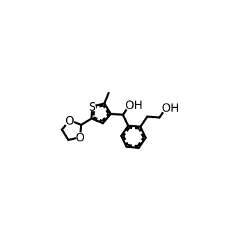 Cc1sc(C2OCCO2)cc1C(O)c1ccccc1CCO